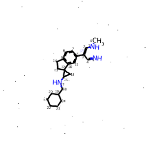 CN/C=C(\C=N)c1ccc2c(c1)C1(CC2)CC1NCC1CCCCC1